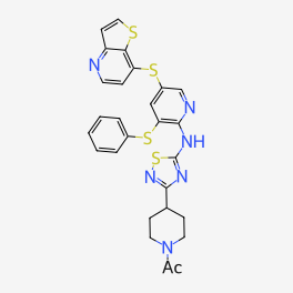 CC(=O)N1CCC(c2nsc(Nc3ncc(Sc4ccnc5ccsc45)cc3Sc3ccccc3)n2)CC1